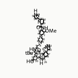 COc1cc(N2CCN(CCC(=O)N[C@H](C(=O)N3C[C@H](O)C[C@H]3C(=O)N[C@@H](C)c3ccc(-c4ccnn4C)cc3)C(C)(C)C)CC2)ccc1NC(=O)c1cccc(-c2cc[nH]n2)n1